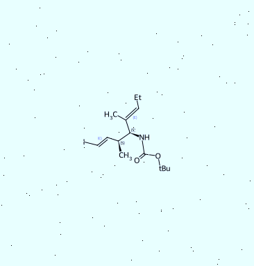 CC/C=C(\C)[C@@H](NC(=O)OC(C)(C)C)[C@@H](C)/C=C/I